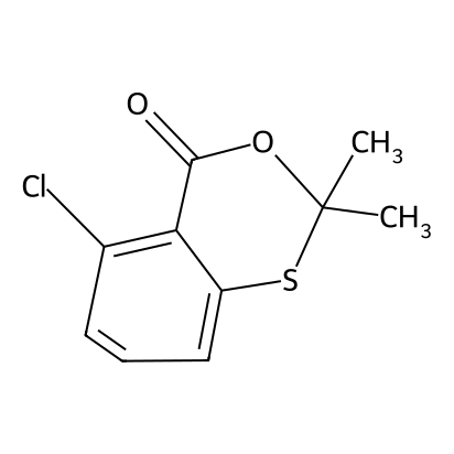 CC1(C)OC(=O)c2c(Cl)cccc2S1